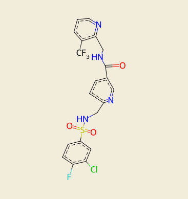 O=C(NCc1ncccc1C(F)(F)F)c1ccc(CNS(=O)(=O)c2ccc(F)c(Cl)c2)nc1